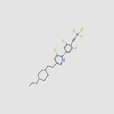 CCCC1CCC(CCc2cnc(-c3cc(F)c(C#CC(F)(F)F)c(F)c3)c(F)c2)CC1